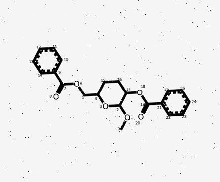 COC1OC(COC(=O)c2ccccc2)CCC1OC(=O)c1ccccc1